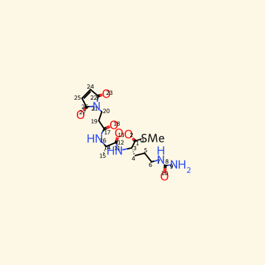 CSC(=O)[C@H](CCCNC(N)=O)NC(=O)[C@H](C)NC(=O)CCN1C(=O)C=CC1=O